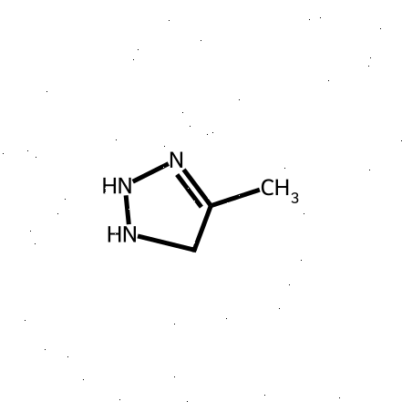 CC1=NNNC1